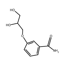 NC(=O)c1cccc(OCC(O)CO)c1